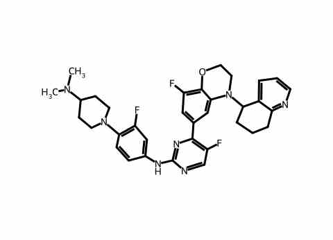 CN(C)C1CCN(c2ccc(Nc3ncc(F)c(-c4cc(F)c5c(c4)N(C4CCCc6ncccc64)CCO5)n3)cc2F)CC1